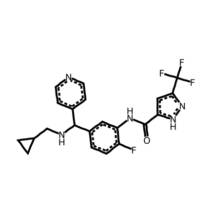 O=C(Nc1cc(C(NCC2CC2)c2ccncc2)ccc1F)c1cc(C(F)(F)F)n[nH]1